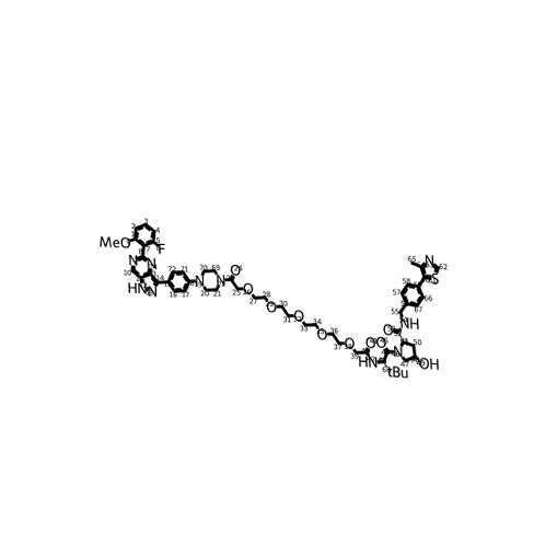 COc1cccc(F)c1-c1ncc2[nH]nc(-c3ccc(N4CCN(C(=O)COCCOCCOCCOCCOCC(=O)N[C@H](C(=O)N5C[C@H](O)C[C@H]5C(=O)NCc5ccc(-c6scnc6C)cc5)C(C)(C)C)CC4)cc3)c2n1